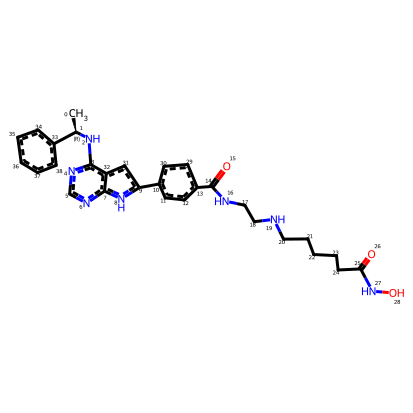 C[C@@H](Nc1ncnc2[nH]c(-c3ccc(C(=O)NCCNCCCCCC(=O)NO)cc3)cc12)c1ccccc1